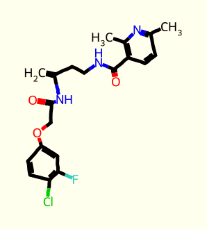 C=C(CCNC(=O)c1ccc(C)nc1C)NC(=O)COc1ccc(Cl)c(F)c1